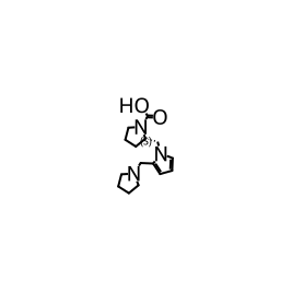 O=C(O)N1CCC[C@H]1Cn1cccc1CN1CCCC1